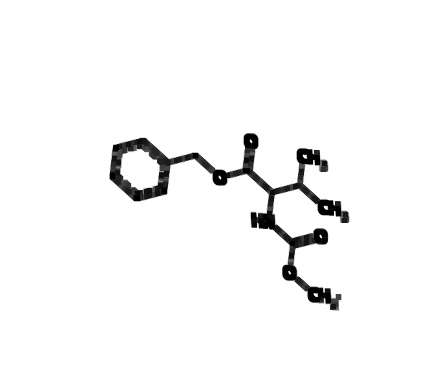 [CH2]OC(=O)NC(C(=O)OCc1ccccc1)C(C)C